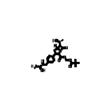 C[C@@H](O)[C@H]1C(=O)N2C(C(=O)OCOC(=O)C(C)(C)C)=C(c3ccc(CNC(=N)N)cc3)C[C@H]12